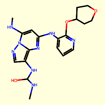 CNc1cc(Nc2cccnc2OC2CCOCC2)nc2c(NC(O)NC)cnn12